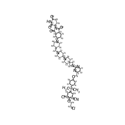 CC(C)(c1ccc(OCc2ccnc(N3CC4(CCN(C5CCN(CC6CCN(c7ccc8c(c7)C(=O)N(C7CCC(=O)NC7=O)C8=O)CC6)CC5)CC4)C3)n2)cc1)c1cc(Cl)c(OCCCl)c(C#N)c1